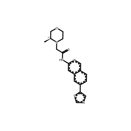 C[C@H]1COCCN1CC(=S)Nc1cc2cc(-c3cncs3)ccc2cn1